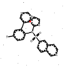 O=S(=O)(c1ccc2cnccc2c1)N(c1nccs1)c1ccc(F)cc1-c1cncnc1